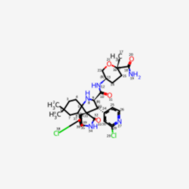 CC1(C)CCC2(CC1)N[C@@H](C(=O)N[C@@H]1CC[C@@](C)(C(N)=O)OC1)[C@H](c1ccnc(Cl)c1)[C@]21C(=O)Nc2cc(Cl)ccc21